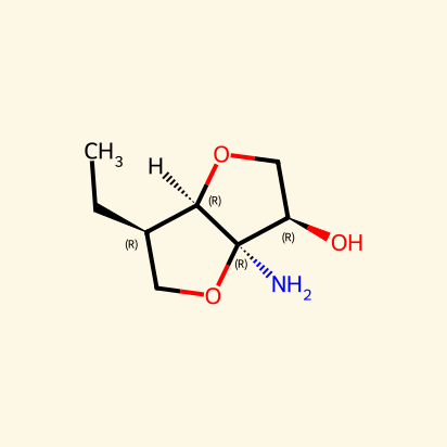 CC[C@@H]1CO[C@]2(N)[C@H](O)CO[C@H]12